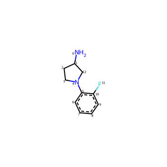 NC1CCN(c2ccccc2F)C1